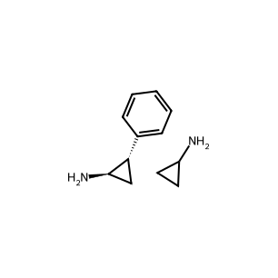 NC1CC1.N[C@@H]1C[C@H]1c1ccccc1